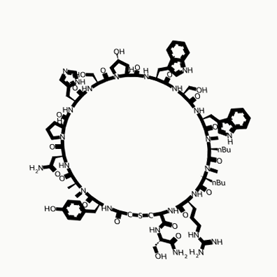 CCCC[C@H]1C(=O)N(C)[C@@H](CCCC)C(=O)N[C@@H](CCCNC(=N)N)C(=O)NC(C(=O)N[C@@H](CO)C(N)=O)CSCC(=O)N[C@@H](Cc2ccc(O)cc2)C(=O)N(C)[C@@H](C)C(=O)N[C@@H](CC(N)=O)C(=O)N2CCC[C@H]2C(=O)N[C@@H](Cc2cnc[nH]2)C(=O)N[C@@H](CO)C(=O)N2C[C@H](O)C[C@H]2C(=O)N[C@@H](Cc2c[nH]c3ccccc23)C(=O)N[C@@H](CO)C(=O)N[C@@H](Cc2c[nH]c3ccccc23)C(=O)N1C